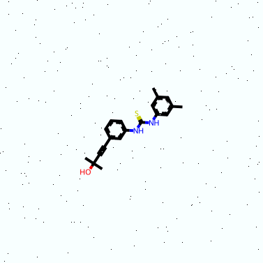 Cc1cc(C)cc(NC(=S)Nc2cccc(C#CC(C)(C)O)c2)c1